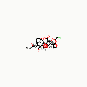 COC(=O)CC1C2(C)CCC(O)(C2OC(C)=O)C2OC(=O)/C(=C(\OC(=O)CCl)C(C)C)C3C(C)(C(OC(C)=O)c4ccoc4)CCC(O)(C1(C)CO)C32O